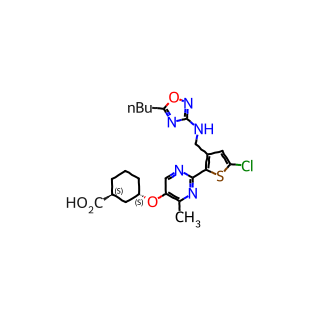 CCCCc1nc(NCc2cc(Cl)sc2-c2ncc(O[C@H]3CCC[C@H](C(=O)O)C3)c(C)n2)no1